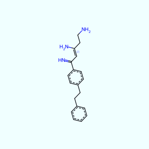 N=C(/C=C(\N)CCN)c1ccc(CCc2ccccc2)cc1